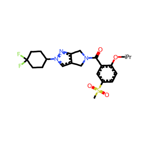 CC(C)Oc1ccc(S(C)(=O)=O)cc1C(=O)N1Cc2cn(C3CCC(F)(F)CC3)nc2C1